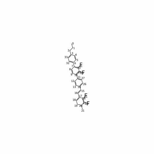 CCCc1ccc(-c2ccc(-c3ccc(/C=C/C4=CCC(C)C(F)=C4F)cc3)c(F)c2F)cc1